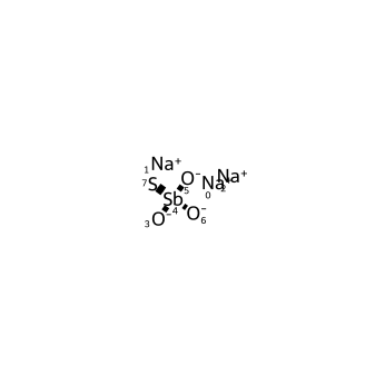 [Na+].[Na+].[Na+].[O-][Sb]([O-])([O-])=[S]